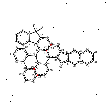 CC1(C)c2ccccc2-c2c(N(c3ccccc3-c3ccccc3)c3ccccc3-c3cccc4c3oc3cc5ccccc5cc34)cccc21